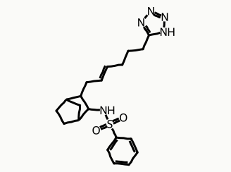 O=S(=O)(NC1C2CCC(C2)C1CC=CCCCc1nnn[nH]1)c1ccccc1